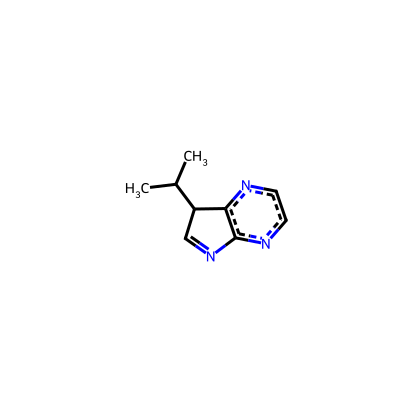 CC(C)C1C=Nc2nccnc21